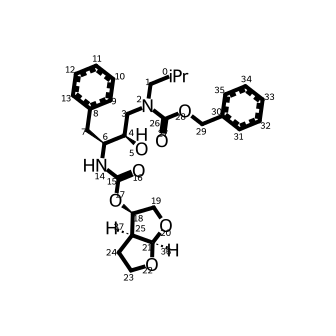 CC(C)CN(C[C@@H](O)[C@H](Cc1ccccc1)NC(=O)O[C@H]1CO[C@H]2OCC[C@H]21)C(=O)OCc1ccccc1